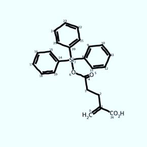 C=C(CCC(=O)O[Si](c1ccccc1)(c1ccccc1)c1ccccc1)C(=O)O